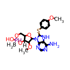 B[PH]1(O)OCC2OC(N3c4ncnc(N)c4NC3Sc3ccc(OC)cc3)C(OC)[C@@H]2O1